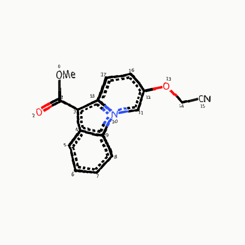 COC(=O)c1c2ccccc2n2cc(OCC#N)ccc12